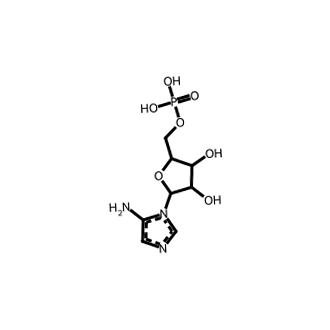 Nc1cncn1C1OC(COP(=O)(O)O)C(O)C1O